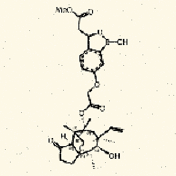 C=C[C@]1(C)C[C@@H](OC(=O)COc2ccc3c(c2)B(O)OC3CC(=O)OC)[C@]2(C)[C@H](C)CC[C@]3(CCC(=O)[C@H]32)[C@@H](C)[C@@H]1O